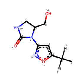 CCC(C)(CC)c1cc(N2C(=O)NCC2CO)no1